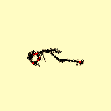 C=C1C[C@@H]2CC[C@@]34C[C@H]5O[C@@H]6C(O[C@H]7CC[C@H](CC(=O)C[C@H]8C(C[C@H]9O[C@@H](CC[C@@H]1O2)C[C@@H](C)C9=C)O[C@H](C[C@H](O)CNC(=O)OCc1ccc(N(CCOCCOCCOCCn2cc(COCCOCCOCCOCCNC(=O)CCN9C(=O)C=CC9=O)nn2)C(=O)OCC(C)(C)SSC)cc1)[C@@H]8OC)O[C@@H]7[C@@H]6O3)[C@@H]5O4